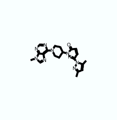 Cc1cc(C)n(-c2ccc(=O)n(C3CCN(c4ncnc5c4ncn5C)CC3)n2)n1